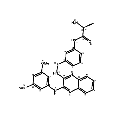 COc1cc(Nc2nc3ccccc3nc2NSc2cccc(NC(=O)[C@H](C)N)c2)cc(OC)c1